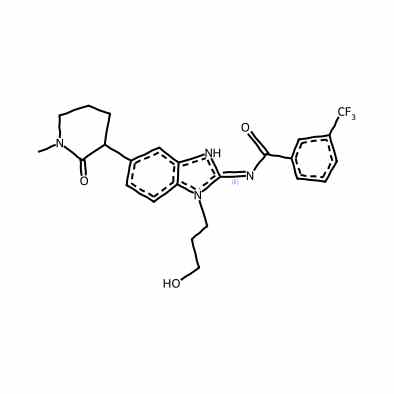 CN1CCCC(c2ccc3c(c2)[nH]/c(=N\C(=O)c2cccc(C(F)(F)F)c2)n3CCCO)C1=O